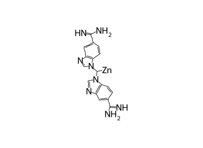 N=C(N)c1ccc2c(c1)ncn2[CH]([Zn])n1cnc2cc(C(=N)N)ccc21